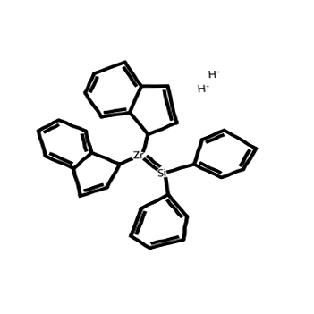 C1=C[CH]([Zr]([CH]2C=Cc3ccccc32)=[Si](c2ccccc2)c2ccccc2)c2ccccc21.[H-].[H-]